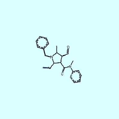 C=CC1C(C(=O)N(C)c2ccccc2)C(C=O)C(C)N1Cc1ccccc1